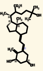 C=C1/C(=C\C=C2CCC[C@@]3(C)C2CC[C@@H]3[C@H](C)C(CCC(C)(C)O)C(=O)O)C[C@@H](O)C[C@H]1O